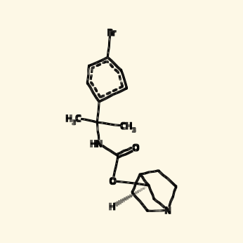 CC(C)(NC(=O)O[C@@H]1CN2CCC1CC2)c1ccc(Br)cc1